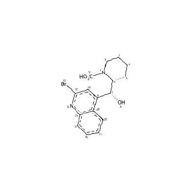 O=C(O)N1CCCC[C@@H]1[C@H](O)c1cc(Br)nc2ccccc12